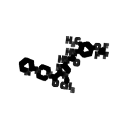 CCn1cc(NC(=O)Nc2ccc(OC(F)(F)F)cc2C)nc1C(=O)N1CCN(c2ccccn2)CC1